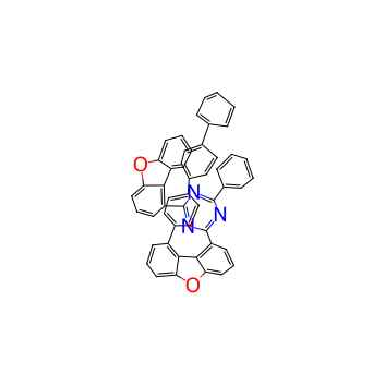 c1ccc(-c2ccc(-c3ccc(-c4cccc5oc6cccc(-c7nc(-c8ccccc8)nc(-c8cccc9oc%10ccccc%10c89)n7)c6c45)cc3)cc2)cc1